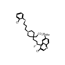 COc1ccc2ncc(Cl)c([C@H](F)CCC3(CC(=O)O)CCN(CCCSc4ccccc4Cl)CC3)c2c1